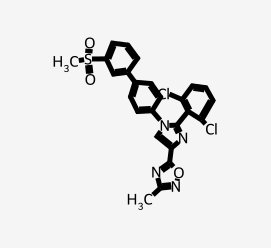 Cc1noc(-c2cn(-c3ccc(-c4cccc(S(C)(=O)=O)c4)cc3)c(-c3c(Cl)cccc3Cl)n2)n1